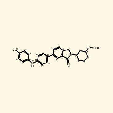 O=COC1CCCC(N2Cc3ccc(-c4ccc(Nc5ccc(Cl)cc5)cc4)cc3C2=O)C1